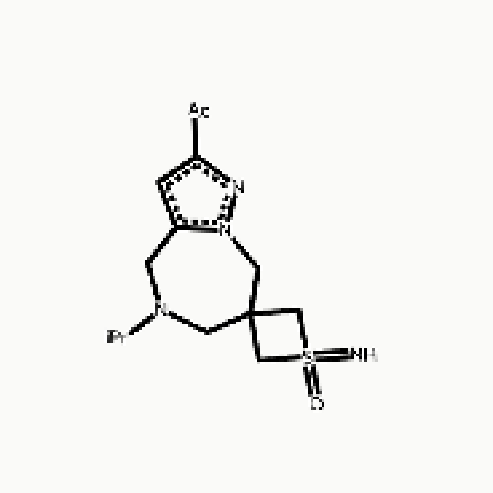 CC(=O)c1cc2n(n1)CC1(CN(C(C)C)C2)CS(=N)(=O)C1